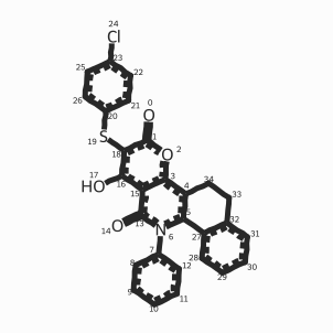 O=c1oc2c3c(n(-c4ccccc4)c(=O)c2c(O)c1Sc1ccc(Cl)cc1)-c1ccccc1CC3